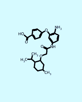 CC1CCC(C(C)C)C(OCC(=O)Nc2ccc(N)c(Oc3ccc(C(=O)O)cc3)c2)C1